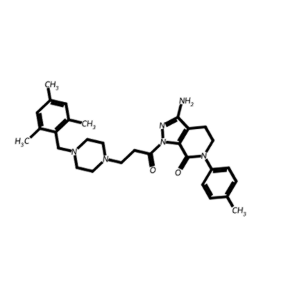 Cc1ccc(N2CCc3c(N)nn(C(=O)CCN4CCN(Cc5c(C)cc(C)cc5C)CC4)c3C2=O)cc1